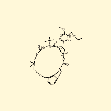 CC[C@@H]1C[C@]1(NC(=O)[C@@H]1C[C@@H]2CN1C(=O)[C@H](C(C)(C)C)NC(=O)OCC(C)(C)CCCCc1cccc3c1CN(C3)C(=O)O2)C(=O)OC